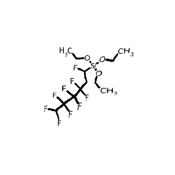 CCO[Si](OCC)(OCC)C(F)CC(F)(F)C(F)(F)C(F)(F)C(F)F